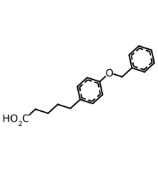 O=C(O)CCCCc1ccc(OCc2ccccc2)cc1